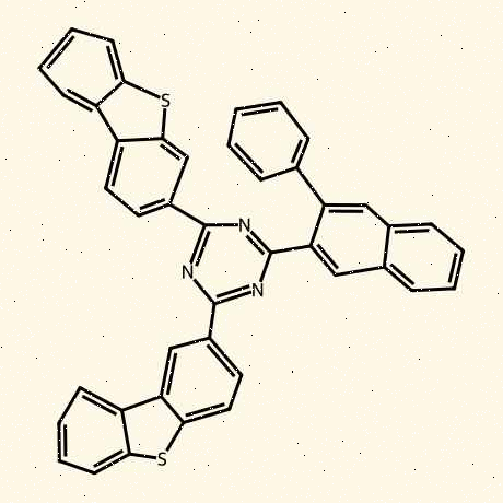 c1ccc(-c2cc3ccccc3cc2-c2nc(-c3ccc4c(c3)sc3ccccc34)nc(-c3ccc4sc5ccccc5c4c3)n2)cc1